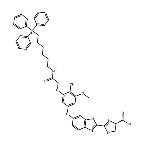 COc1cc(Oc2ccc3nc(C4=N[C@@H](C(=O)O)CS4)sc3c2)cc(OCC(=O)NCCCCCC[PH](c2ccccc2)(c2ccccc2)c2ccccc2)c1O